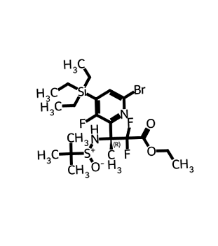 CCOC(=O)C(F)(F)[C@](C)(N[S+]([O-])C(C)(C)C)c1nc(Br)cc([Si](CC)(CC)CC)c1F